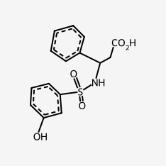 O=C(O)CC(NS(=O)(=O)c1cccc(O)c1)c1ccccc1